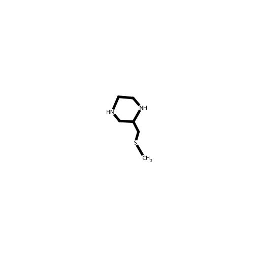 CSCC1CNCCN1